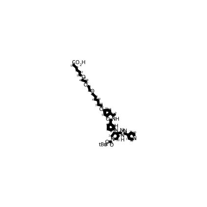 CC(NC(=O)c1cccc(NC2(c3nnc(-c4ccncc4)[nH]3)CCN(C(=O)OC(C)(C)C)CC2)c1)c1ccc(OCCCCCCOCCOCCOCCCCCC(=O)O)cc1